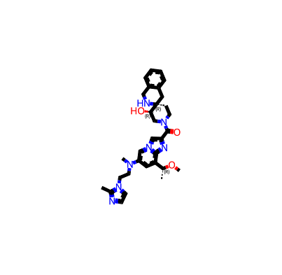 CO[C@H](C)c1cc(N(C)CCn2ccnc2C)cn2cc(C(=O)N3CC[C@]4(Cc5ccccc5CN4)[C@H](O)C3)nc12